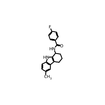 Cc1ccc2[nH]c3c(c2c1)CCCC3NC(=O)c1ccc(F)cc1